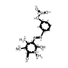 Cc1c(/N=N/c2cccc(O[SH](=O)=O)c2)c(O)n(C)c(=O)c1C#N